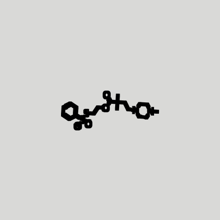 CN1CCN(CCC(C)(C)C(=O)OCCSS(=O)(=O)c2ccccc2)CC1